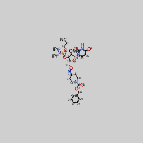 COC1C(OP(OCCC#N)N(C(C)C)C(C)C)[C@@H](CON=C2CCN(C(=O)OCc3ccccc3)CC2)O[C@H]1n1ccc(=O)[nH]c1=O